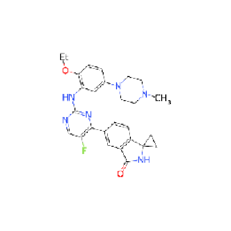 CCOc1ccc(N2CCN(C)CC2)cc1Nc1ncc(F)c(-c2ccc3c(c2)C(=O)NC32CC2)n1